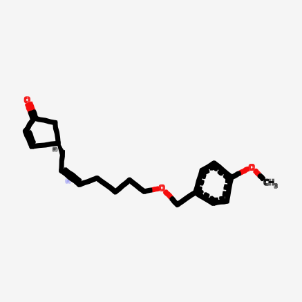 COc1ccc(COCCCC/C=C\C[C@H]2C=CC(=O)C2)cc1